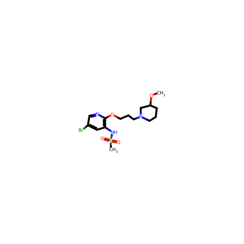 COC1CCCN(CCCOc2ncc(Br)cc2NS(C)(=O)=O)C1